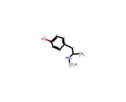 CC(Cc1ccc(O)cc1)NC(=O)O